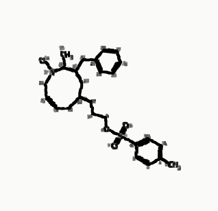 Cc1ccc(S(=O)(=O)OCCCC2C/C=C\CN(Cl)C(C)C(Cc3ccccc3)C2)cc1